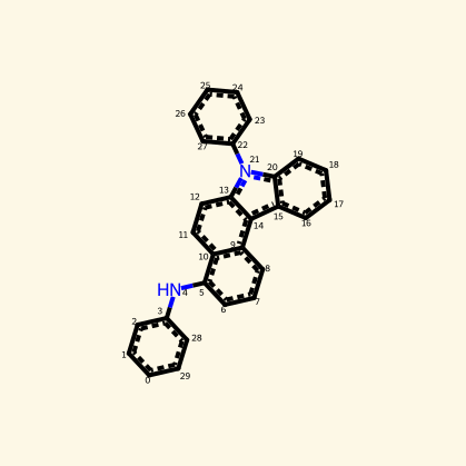 c1ccc(Nc2cccc3c2ccc2c3c3ccccc3n2-c2ccccc2)cc1